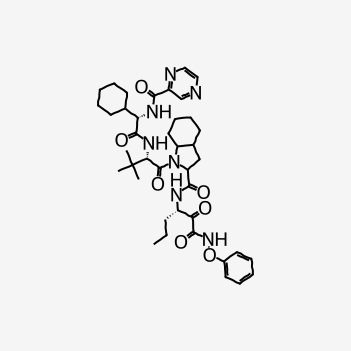 CCC[C@H](NC(=O)C1CC2CCCCC2N1C(=O)[C@@H](NC(=O)[C@@H](NC(=O)c1cnccn1)C1CCCCC1)C(C)(C)C)C(=O)C(=O)NOc1ccccc1